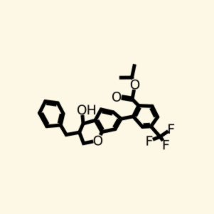 CC(C)OC(=O)c1ccc(C(F)(F)F)cc1-c1ccc2c(c1)OCC(Cc1ccccc1)C2O